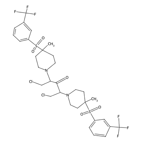 CC1(S(=O)(=O)c2cccc(C(F)(F)F)c2)CCN(C(CCl)C(=O)C(CCl)N2CCC(C)(S(=O)(=O)c3cccc(C(F)(F)F)c3)CC2)CC1